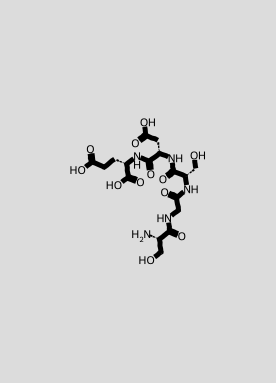 N[C@@H](CO)C(=O)NCC(=O)N[C@@H](CO)C(=O)N[C@@H](CC(=O)O)C(=O)N[C@@H](CCC(=O)O)C(=O)O